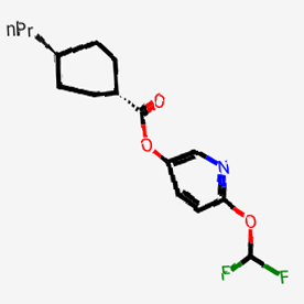 CCC[C@H]1CC[C@H](C(=O)Oc2ccc(OC(F)F)nc2)CC1